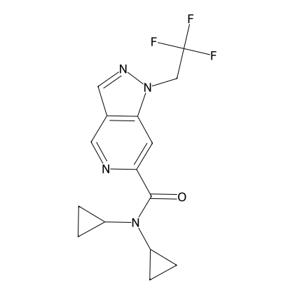 O=C(c1cc2c(cn1)cnn2CC(F)(F)F)N(C1CC1)C1CC1